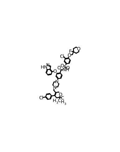 CC1(C)CC(c2ccc(Cl)cc2)=C(CN2CCN(c3ccc(C(=O)NS(=O)(=O)c4ccc(OCC5(F)CCOCC5)c(Cl)c4)c(Oc4cccc5[nH]ncc45)c3)CC2)CO1